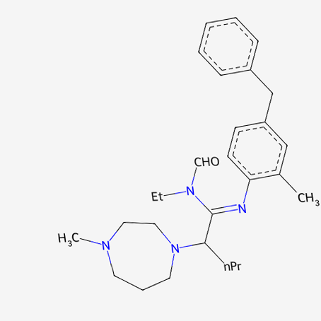 CCCC(/C(=N/c1ccc(Cc2ccccc2)cc1C)N(C=O)CC)N1CCCN(C)CC1